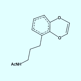 CC(=O)NCCCc1cccc2c1OC=CO2